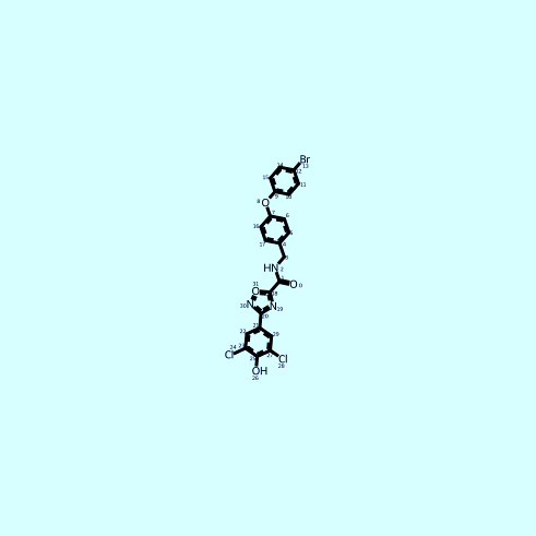 O=C(NCc1ccc(Oc2ccc(Br)cc2)cc1)c1nc(-c2cc(Cl)c(O)c(Cl)c2)no1